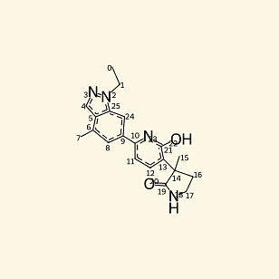 CCn1ncc2c(C)cc(-c3ccc(C4(C)CCNC4=O)c(O)n3)cc21